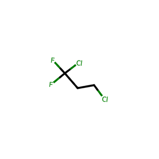 FC(F)(Cl)CCCl